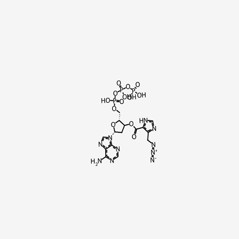 [N-]=[N+]=NCc1nc[nH]c1C(=O)OC1C[C@H](n2cnc3c(N)ncnc32)O[C@@H]1COP(=O)(O)OP(=O)(O)OP(=O)(O)O